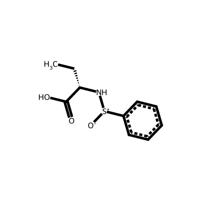 CC[C@H](N[S+]([O-])c1ccccc1)C(=O)O